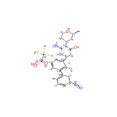 C[C@H]1C[C@@H](N2C(=N)N[C@](C)(c3cccc(-c4cccc(C#N)c4)c3Cl)CC2=O)CCO1.O=C(O)C(F)(F)F